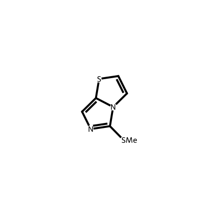 CSc1ncc2sccn12